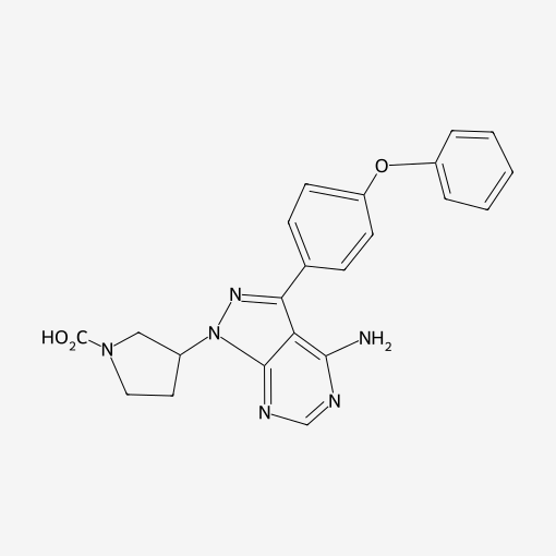 Nc1ncnc2c1c(-c1ccc(Oc3ccccc3)cc1)nn2C1CCN(C(=O)O)C1